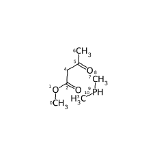 COC(=O)CC(C)=O.CPC